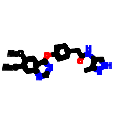 COc1cc2ncnc(Oc3ccc(CC(=O)Nc4c[nH]nc4C)cc3)c2cc1OC